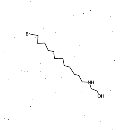 OCCNCCCCCCCCCCCCBr